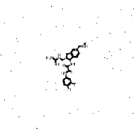 CNCc1ccc2c(c1)C[C@H](CNC(=N)N)[C@H]2NC(=O)C(=O)Nc1ccc(Cl)c(F)c1